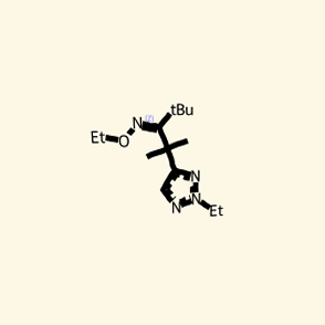 CCO/N=C(/C(C)(C)C)C(C)(C)c1cnn(CC)n1